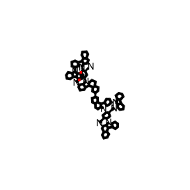 N#Cc1cc(-n2c3cc(-n4c5ccccc5c5ccccc54)ccc3c3c4cc(-c5ccc6ccc7c(c6c5)c5ccccc5n7-c5cc(C#N)c(-n6c7ccc8ccccc8c7c7cccc(-n8c9ccccc9c9ccccc98)c76)cc5C#N)ccc4ccc32)c(C#N)cc1-n1c2ccccc2c2c3ccccc3ccc21